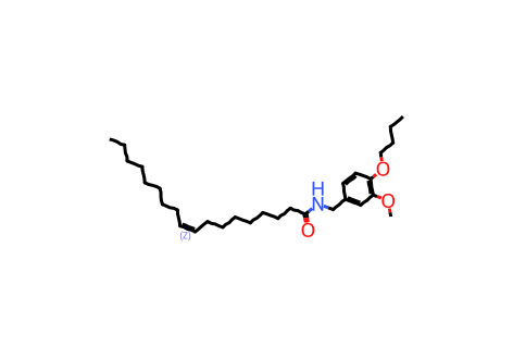 CCCCCCCC/C=C\CCCCCCCC(=O)NCc1ccc(OCCCC)c(OC)c1